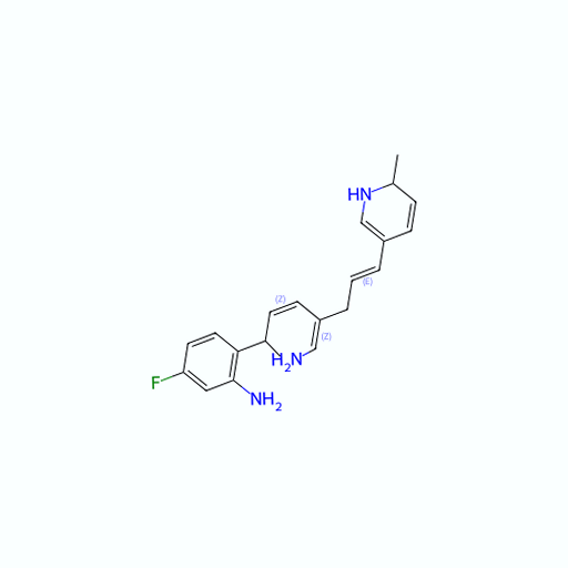 CC1C=CC(/C=C/CC(/C=C\C(C)c2ccc(F)cc2N)=C/N)=CN1